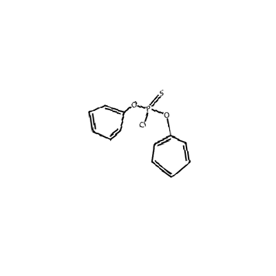 S=P(Cl)(Oc1ccccc1)Oc1ccccc1